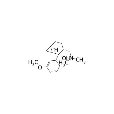 COC1=CC([C@@]2(O)C3C[C@H]3CC[C@@H]2CN(C)C)CC=C1